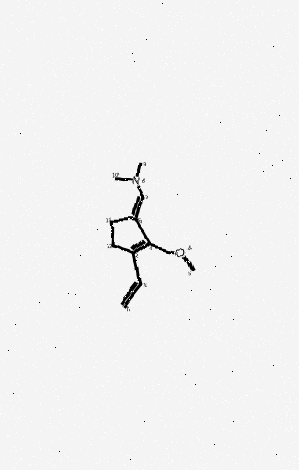 C=CC1=C(OC)/C(=C/N(C)C)CC1